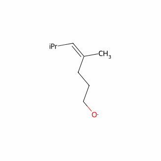 CC(=CC(C)C)CCC[O]